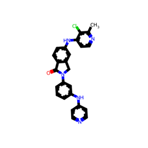 Cc1nccc(Nc2ccc3c(c2)CN(c2cccc(Nc4ccncc4)c2)C3=O)c1Cl